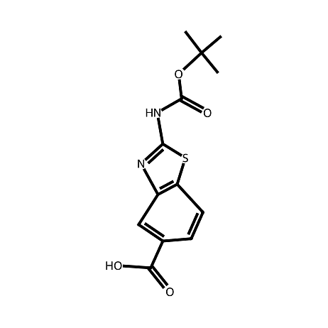 CC(C)(C)OC(=O)Nc1nc2cc(C(=O)O)ccc2s1